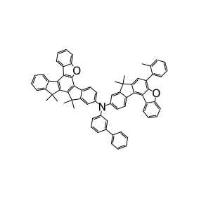 Cc1ccccc1-c1cc2c(c3c1oc1ccccc13)-c1ccc(N(c3cccc(-c4ccccc4)c3)c3ccc4c(c3)C(C)(C)c3c5c(c6c(oc7ccccc76)c3-4)-c3ccccc3C5(C)C)cc1C2(C)C